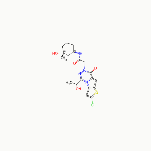 CC(O)c1nn(CC(=O)N[C@@H]2CCC[C@@](C)(O)C2)c(=O)c2cc3sc(Cl)cc3n12